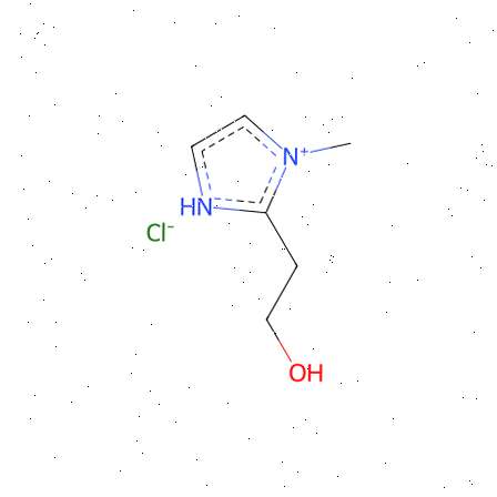 C[n+]1cc[nH]c1CCO.[Cl-]